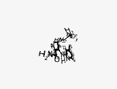 Cc1cc(C)nc(Nc2cc(NCC(N)C(F)(F)F)cnc2C(N)=O)c1